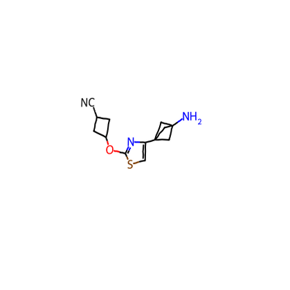 N#CC1CC(Oc2nc(C34CC(N)(C3)C4)cs2)C1